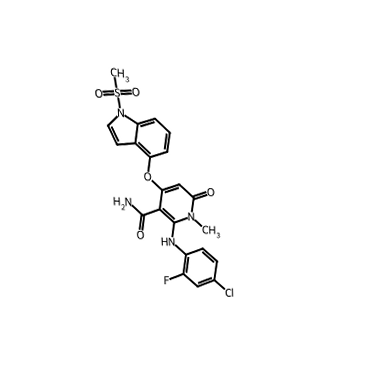 Cn1c(Nc2ccc(Cl)cc2F)c(C(N)=O)c(Oc2cccc3c2ccn3S(C)(=O)=O)cc1=O